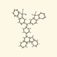 CC1(C)c2ccccc2-c2ccc(N(c3ccc(-c4cc5ccccc5c5c4sc4ccccc45)cc3)c3ccc4c(c3)C(C)(C)c3ccccc3-4)cc21